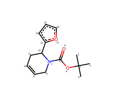 CC(C)(C)OC(=O)N1CC=CCC1c1ccco1